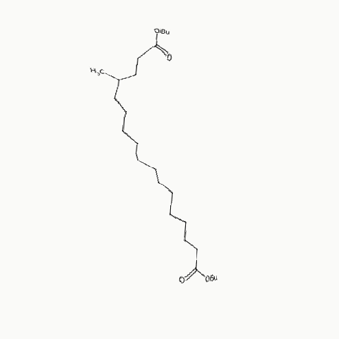 CC(C)COC(=O)CCCCCCCCCCCCC(C)CCC(=O)OCC(C)C